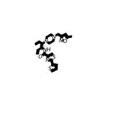 C=C/C(NC(=O)c1csc(-c2cccs2)n1)=C(\C=C)N1CCN(Cc2cc(C)on2)CC1